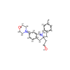 Cc1ccc(CC(CC=O)(Cc2ccc(N3CCOCC3)cc2)N(C)C)cc1